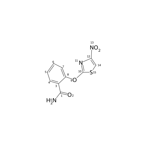 NC(=O)c1ccccc1Oc1nc([N+](=O)[O-])cs1